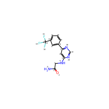 NC(=O)CNc1cc(-c2cccc(C(F)(F)F)c2)ncn1